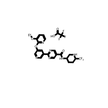 CCOc1cccnc1Oc1cncc(-c2ncc(C(=O)NC3CCC(C(F)(F)F)NC3)cn2)c1.O=C(O)C(F)(F)F